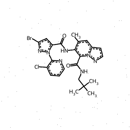 Cc1cc2ccnn2c(C(=O)NCC(C)(C)C)c1NC(=O)c1cc(Br)nn1-c1ncccc1Cl